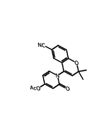 CC(=O)Oc1ccn(C2=CC(C)(C)Oc3ccc(C#N)cc32)c(=O)c1